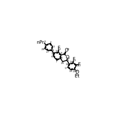 CCCc1ccc(-c2ccc3c(c2F)C(=O)OC(c2ccc(OCC)c(F)c2F)C3)cc1